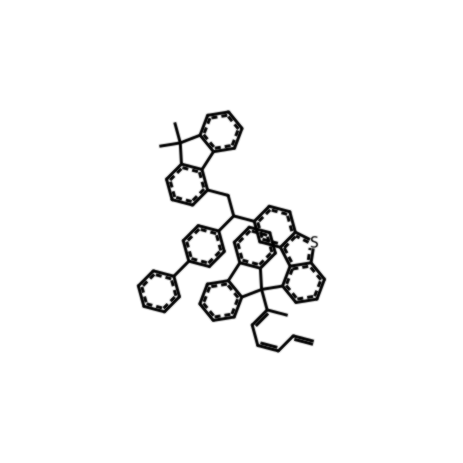 C=C/C=C\C=C(/C)C1(c2cccc3sc4ccc(C(Cc5cccc6c5-c5ccccc5C6(C)C)c5ccc(-c6ccccc6)cc5)cc4c23)c2ccccc2-c2ccccc21